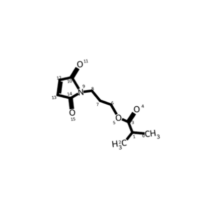 CC(C)C(=O)OCCCN1C(=O)C=CC1=O